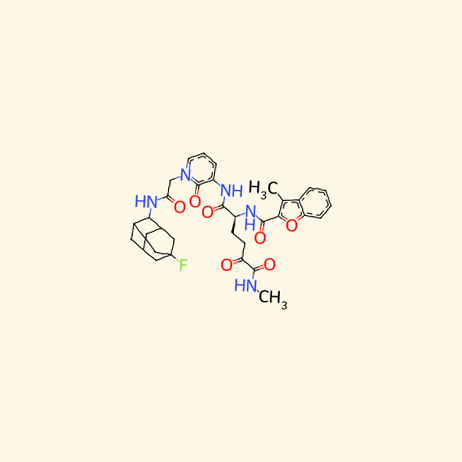 CNC(=O)C(=O)CC[C@H](NC(=O)c1oc2ccccc2c1C)C(=O)Nc1cccn(CC(=O)NC2C3CC4CC2CC(F)(C4)C3)c1=O